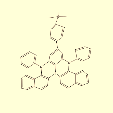 CS(C)(C)c1ccc(-c2cc3c4c(c2)N(c2ccccc2)c2c(ccc5ccccc25)B4c2ccc4ccccc4c2N3c2ccccc2)cc1